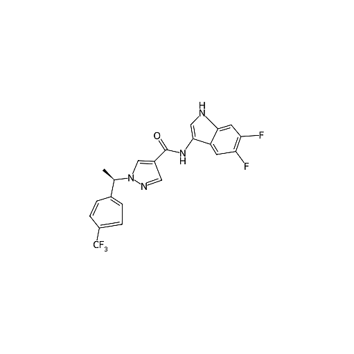 C[C@H](c1ccc(C(F)(F)F)cc1)n1cc(C(=O)Nc2c[nH]c3cc(F)c(F)cc23)cn1